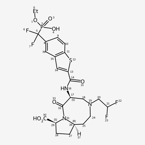 CCOP(=O)(O)C(F)(F)c1ccc2sc(C(=O)N[C@H]3CN(CC(F)F)CC[C@H]4CC[C@@H](C(=O)O)N4C3=O)cc2c1